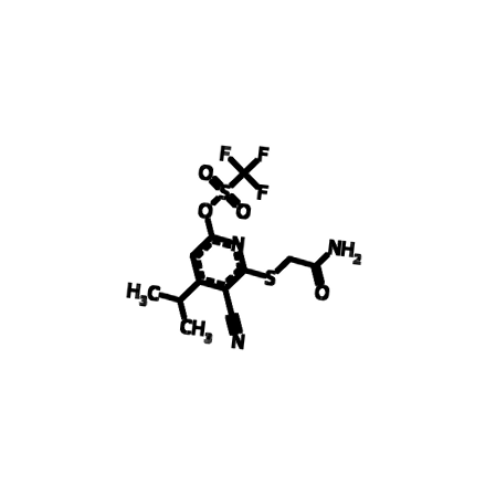 CC(C)c1cc(OS(=O)(=O)C(F)(F)F)nc(SCC(N)=O)c1C#N